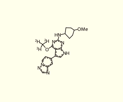 [2H]C([2H])([2H])Oc1nc(NC2CCC(OC)CC2)nc2[nH]cc(-c3ccn4ncnc4c3)c12